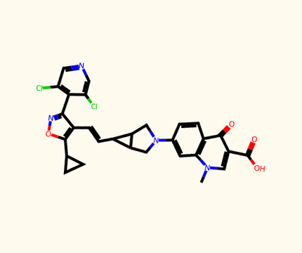 Cn1cc(C(=O)O)c(=O)c2ccc(N3CC4C(C=Cc5c(-c6c(Cl)cncc6Cl)noc5C5CC5)C4C3)cc21